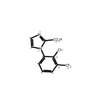 O=C(O)c1nccn1-c1cccc(C(F)(F)F)c1Cl